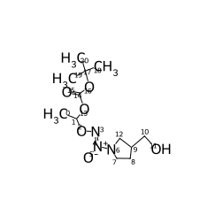 CC(ON=[N+]([O-])N1CCC(CO)C1)OC(=O)OC(C)(C)C